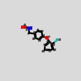 ONCc1ccc(Oc2ccccc2F)cc1